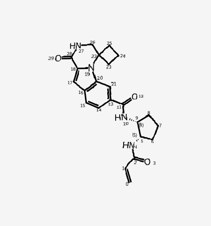 C=CC(=O)N[C@H]1CCC[C@H]1NC(=O)c1ccc2cc3n(c2c1)C1(CCC1)CNC3=O